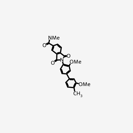 CNC(=O)c1ccc2c(c1)C(=O)N(c1ccc(-c3ccc(C)c(OC)c3)cc1OC)C2=O